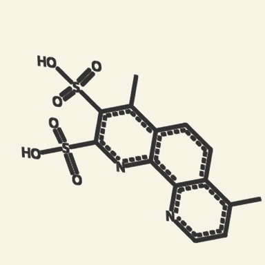 Cc1ccnc2c1ccc1c(C)c(S(=O)(=O)O)c(S(=O)(=O)O)nc12